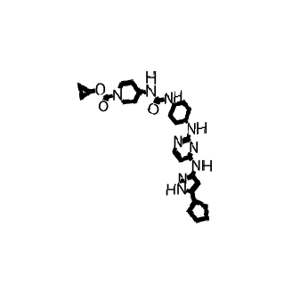 O=C(NC1CCN(C(=O)OC2CC2)CC1)N[C@H]1CC[C@H](Nc2nccc(Nc3cc(C4CCCC4)[nH]n3)n2)CC1